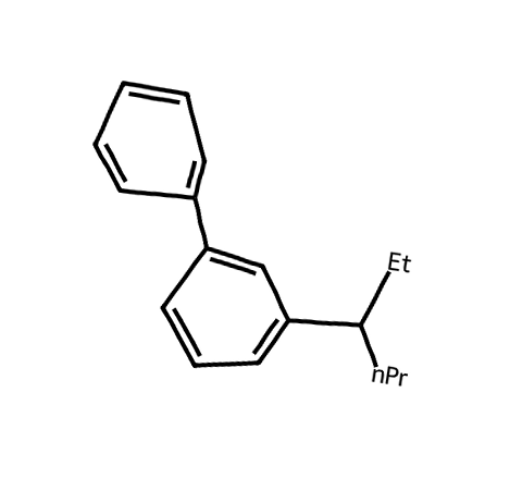 CCCC(CC)c1cccc(-c2ccccc2)c1